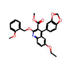 CCOc1ccc2nc(OCc3ccccc3OC)c(C(=O)OC)c(-c3ccc4c(c3)OCO4)c2c1